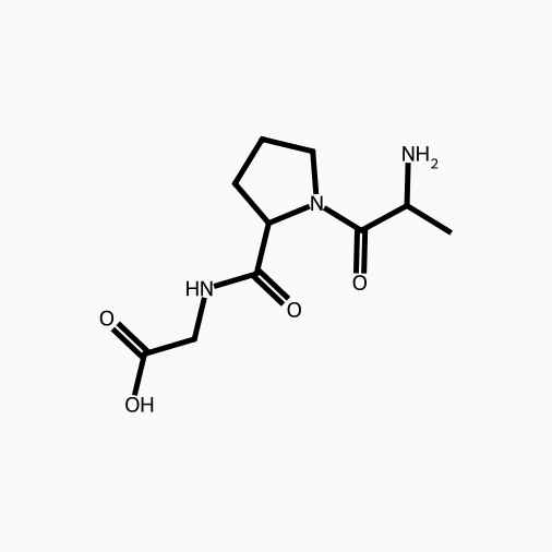 CC(N)C(=O)N1CCCC1C(=O)NCC(=O)O